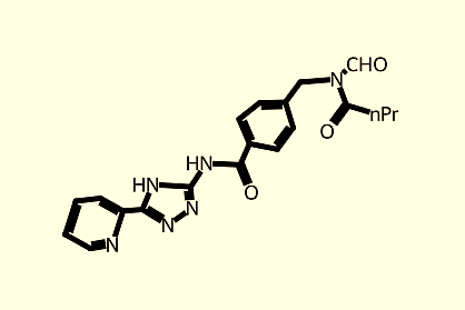 CCCC(=O)N(C=O)Cc1ccc(C(=O)Nc2nnc(-c3ccccn3)[nH]2)cc1